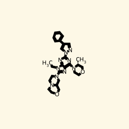 CCn1c(N2CCN3CCOCC3C2)nc2c(N3CCOC[C@H]3C)nc(-n3cc(-c4ccccc4)cn3)nc21